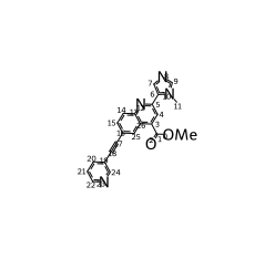 COC(=O)c1cc(-c2cncn2C)nc2ccc(C#Cc3cccnc3)cc12